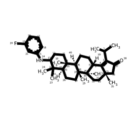 CC(C)C1=C2[C@H]3CC[C@@H]4[C@@]5(C)CCC(Nc6cccc(F)c6)C(C)(C)[C@@H]5CC[C@@]4(C)[C@]3(C)CC[C@@]2(C)CC1=O